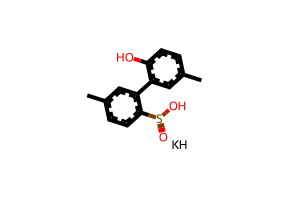 Cc1ccc(O)c(-c2cc(C)ccc2S(=O)O)c1.[KH]